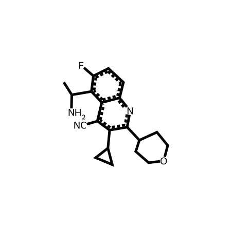 CC(N)c1c(F)ccc2nc(C3CCOCC3)c(C3CC3)c(C#N)c12